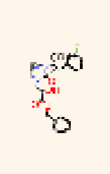 CC(C)CN(CC(O)C(=O)OCc1ccccc1)C(=O)N[C@@H](Cc1cccc(F)c1)C(=O)O